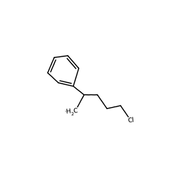 [CH2]C(CCCCl)c1ccccc1